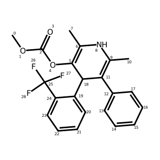 COC(=O)OC1=C(C)NC(C)=C(c2ccccc2)C1c1ccccc1C(F)(F)F